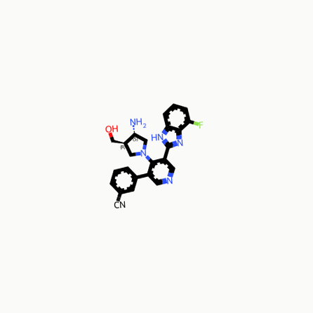 N#Cc1cccc(-c2cncc(-c3nc4c(F)cccc4[nH]3)c2N2C[C@@H](CO)[C@H](N)C2)c1